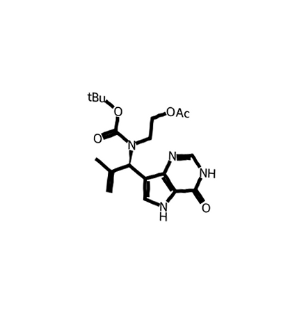 C=C(C)[C@H](c1c[nH]c2c(=O)[nH]cnc12)N(CCOC(C)=O)C(=O)OC(C)(C)C